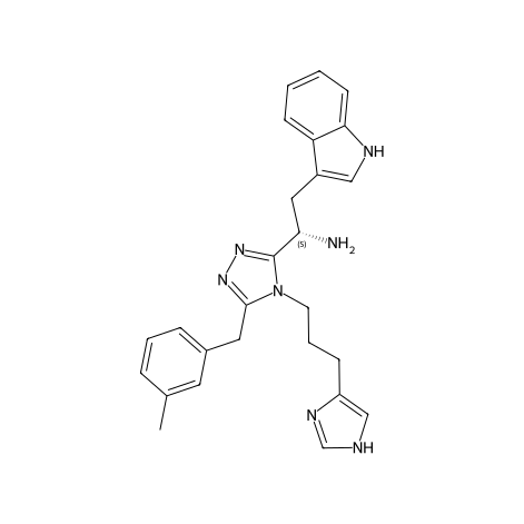 Cc1cccc(Cc2nnc([C@@H](N)Cc3c[nH]c4ccccc34)n2CCCc2c[nH]cn2)c1